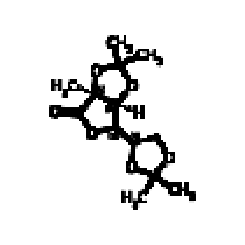 CC1(C)OC[C@H]([C@H]2OC(=O)[C@@]3(C)OC(C)(C)O[C@@H]23)O1